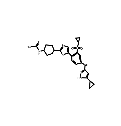 O=C(O)NC1CCC(c2ncc(-c3ccc(Nc4cc(C5CC5)[nH]n4)cc3S(=O)(=O)C3CC3)s2)CC1